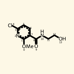 COc1nc(Cl)ccc1C(=O)NCCO